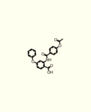 CC(=O)Oc1ccc(C(=O)Nc2cc(Oc3ccccc3)ccc2C(=O)O)cc1